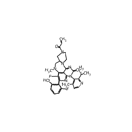 C=CC(=O)N1CCN2c3nc(=O)n(-c4c(C)ccnc4C(C)C)c4nc(-c5c(O)cccc5F)c(F)c(c34)N(C)CC2C1